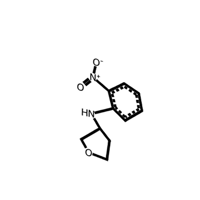 O=[N+]([O-])c1ccccc1NC1CCOC1